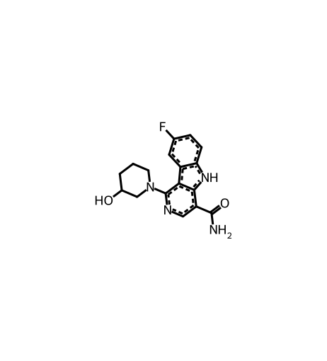 NC(=O)c1cnc(N2CCCC(O)C2)c2c1[nH]c1ccc(F)cc12